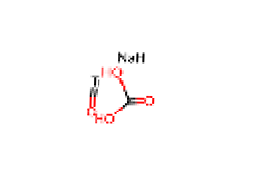 O=C(O)O.[NaH].[O]=[Ti]